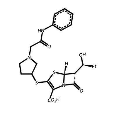 CC[C@H](O)[C@@H]1C(=O)N2C(C(=O)O)=C(SC3CCN(CC(=O)Nc4ccccc4)C3)S[C@H]12